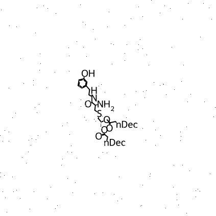 CCCCCCCCCCCC(=O)OC[C@H](CSC[C@H](N)C(=O)NCCc1cccc(O)c1)OC(=O)CCCCCCCCCCC